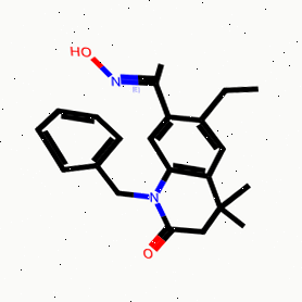 CCc1cc2c(cc1/C(C)=N/O)N(Cc1ccccc1)C(=O)CC2(C)C